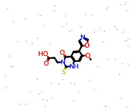 COc1cc2[nH]c(=S)n(CCC(=O)O)c(=O)c2cc1-c1cnco1